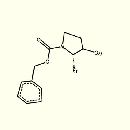 CC[C@H]1C(O)CCN1C(=O)OCc1ccccc1